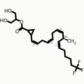 C[C@H](/C=C\C/C=C\C/C=C\C1CC1C(=O)OC(CO)CO)/C=C\CCCCC(F)(F)F